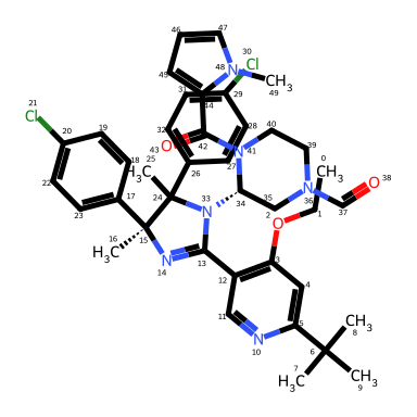 CCOc1cc(C(C)(C)C)ncc1C1=N[C@@](C)(c2ccc(Cl)cc2)C(C)(c2ccc(Cl)cc2)N1[C@H]1CN(C=O)CCN1C(=O)c1cccn1C